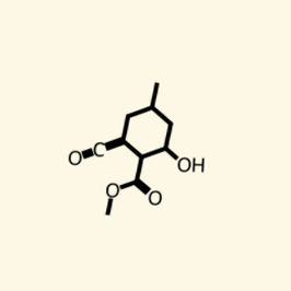 COC(=O)C1C(=C=O)CC(C)CC1O